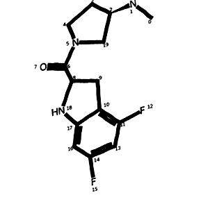 CN[C@@H]1CCN(C(=O)C2Cc3c(F)cc(F)cc3N2)C1